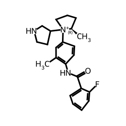 Cc1cc([N+]2(C3CCNC3)CCC[C@H]2C)ccc1NC(=O)c1ccccc1F